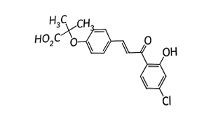 CC(C)(Oc1ccc(/C=C/C(=O)c2ccc(Cl)cc2O)cc1)C(=O)O